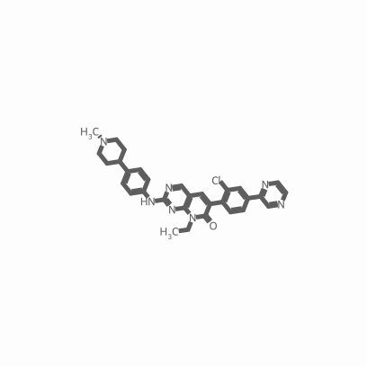 CCn1c(=O)c(-c2ccc(-c3cnccn3)cc2Cl)cc2cnc(Nc3ccc(C4CCN(C)CC4)cc3)nc21